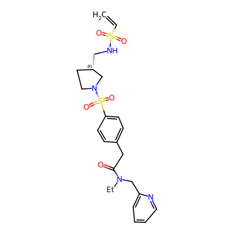 C=CS(=O)(=O)NC[C@H]1CCN(S(=O)(=O)c2ccc(CC(=O)N(CC)Cc3ccccn3)cc2)C1